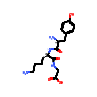 NCCCC[C@H](NC(=O)[C@@H](N)Cc1ccc(O)cc1)C(=O)NCC(=O)O